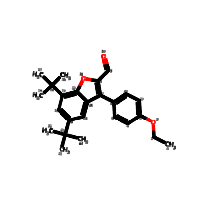 CCOc1ccc(-c2c(C=O)oc3c(C(C)(C)C)cc(C(C)(C)C)cc23)cc1